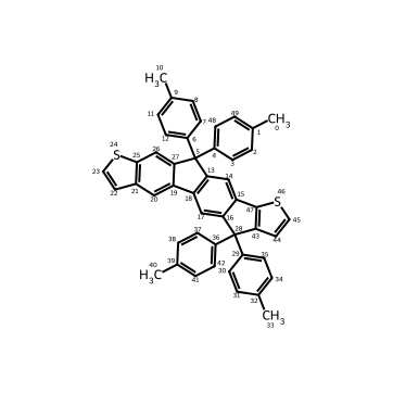 Cc1ccc(C2(c3ccc(C)cc3)c3cc4c(cc3-c3cc5ccsc5cc32)C(c2ccc(C)cc2)(c2ccc(C)cc2)c2ccsc2-4)cc1